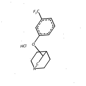 Cl.FC(F)(F)c1cccc(OC2CN3CCC2CC3)c1